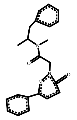 CC(Cc1ccccc1)N(C)C(=O)Cn1nc(-c2ccccc2)ccc1=O